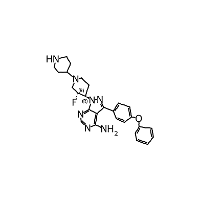 Nc1ncnc2c1c(-c1ccc(Oc3ccccc3)cc1)nn2[C@@H]1CCN(C2CCNCC2)C[C@H]1F